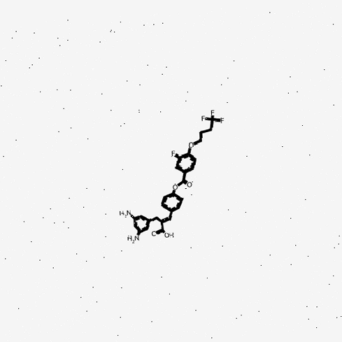 Nc1cc(N)cc(C/C(=C\c2ccc(OC(=O)c3ccc(OCCCC(F)(F)F)c(F)c3)cc2)C(=O)O)c1